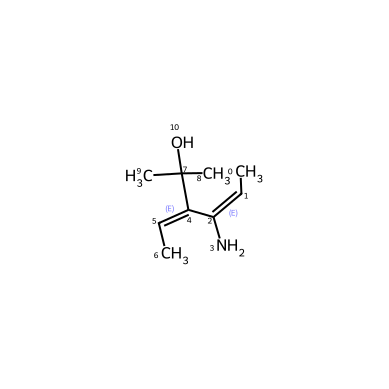 C/C=C(N)\C(=C/C)C(C)(C)O